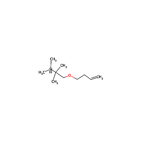 C=CCCOCC(C)(C)[SiH](C)C